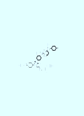 CN1CCC(N(CCN)S(=O)(=O)c2ccc(Nc3nccc(Nc4ccc(F)cc4)n3)cc2)CC1.Cl